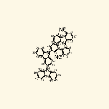 N#Cc1cccc(-n2c3ccccc3c3c(C#N)cccc32)c1-c1cccc(-n2c3ccccc3c3cc(-n4c5ccccc5c5ccccc54)ccc32)c1